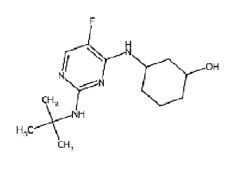 CC(C)(C)Nc1ncc(F)c(NC2CCCC(O)C2)n1